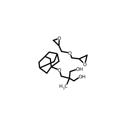 C(OCC1CO1)C1CO1.CC(CO)(CO)COC12CC3CC(CC(C3)C1)C2